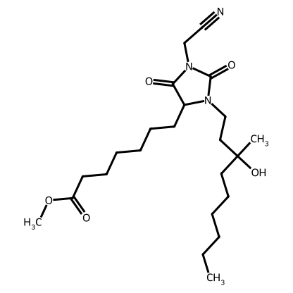 CCCCCCC(C)(O)CCN1C(=O)N(CC#N)C(=O)C1CCCCCCC(=O)OC